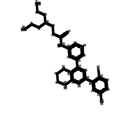 O=C(CCN(CCO)CCO)Nc1cncc(-c2cc(-c3cc(Cl)ccc3F)nc3c2OCCN3)c1